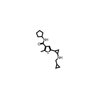 Cc1sc(C2CC2NCC2CC2)cc1C(=O)NC1CCCC1